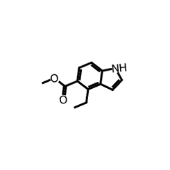 CCc1c(C(=O)OC)ccc2[nH]ccc12